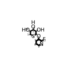 O[C@@H]1[C@@H](O)[C@H](Oc2cccnc2F)SC[C@H]1O